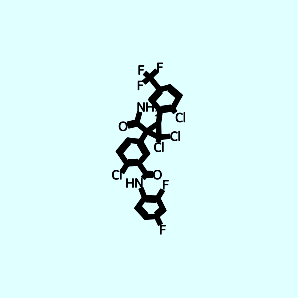 NC(=O)C1(c2ccc(Cl)c(C(=O)Nc3ccc(F)cc3F)c2)C(c2cc(C(F)(F)F)ccc2Cl)C1(Cl)Cl